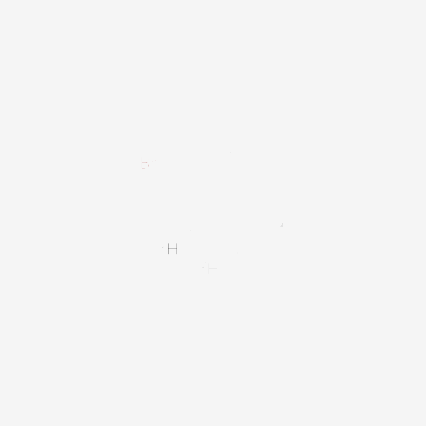 Brc1ccccc1.[2H][2H]